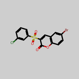 O=c1oc2ccc(Br)cc2cc1S(=O)(=O)c1cccc(Cl)c1